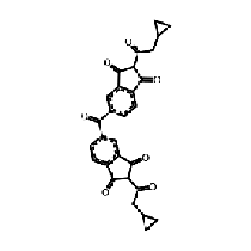 O=C(c1ccc2c(c1)C(=O)C(C(=O)CC1CC1)C2=O)c1ccc2c(c1)C(=O)C(C(=O)CC1CC1)C2=O